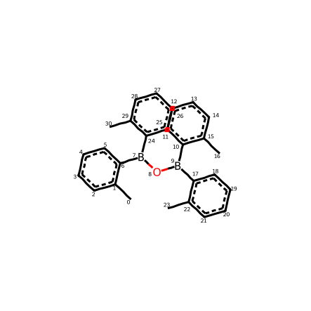 Cc1ccccc1B(OB(c1ccccc1C)c1ccccc1C)c1ccccc1C